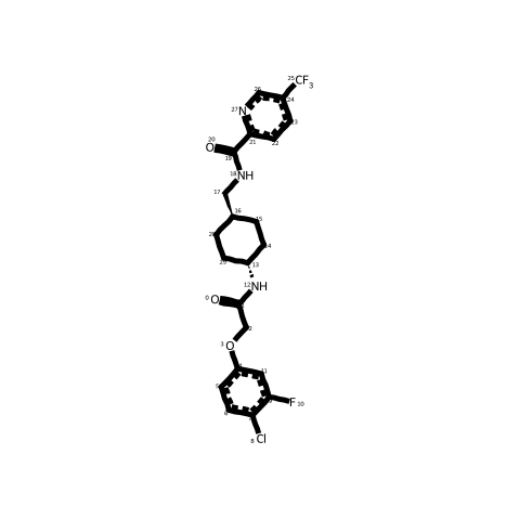 O=C(COc1ccc(Cl)c(F)c1)N[C@H]1CC[C@H](CNC(=O)c2ccc(C(F)(F)F)cn2)CC1